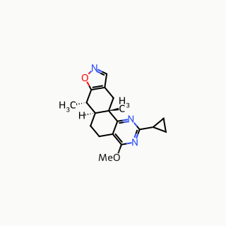 COc1nc(C2CC2)nc2c1CC[C@H]1[C@H](C)c3oncc3C[C@]21C